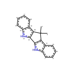 CC1(C)c2c([nH]c3ccccc23)-c2[nH]c3ccccc3c21